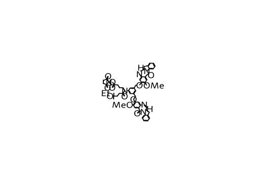 CCOC(C)(C)CCC(=O)N(CCCC(=O)ON1C(=O)CCC1=O)c1cc(COc2cc3c(cc2OC)C(=O)N2c4ccccc4C[C@H]2C=N3)cc(COc2cc3c(cc2OC)C(=O)N2c4ccccc4C[C@H]2C=N3)c1